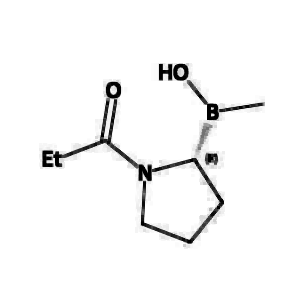 CCC(=O)N1CCC[C@H]1B(C)O